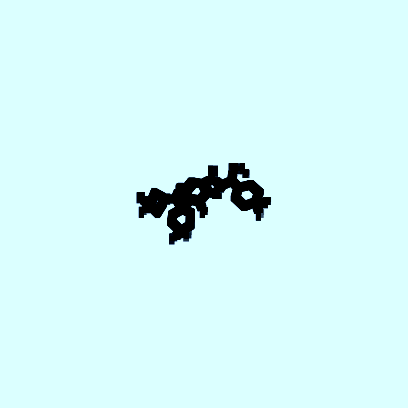 NC(c1nc2c(F)c(C3(C(=O)N4CC(F)(F)C4)CCC(F)(F)CC3)ccc2[nH]1)C1CCC(F)(F)CC1